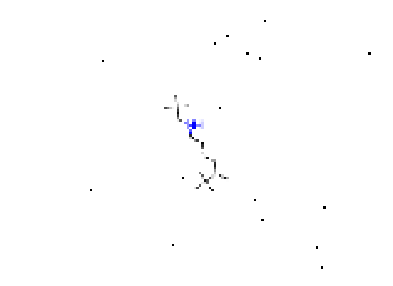 C[C@H](CCCCNCC(C)(C)C)C(C)(C)C